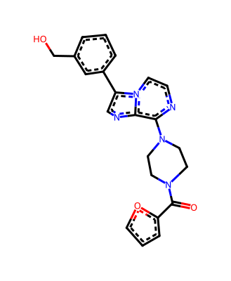 O=C(c1ccco1)N1CCN(c2nccn3c(-c4cccc(CO)c4)cnc23)CC1